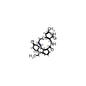 CCN(c1cccc2c1C/C=C/CCc1cc(C)[nH]c(=O)c1CNC2=O)C1CCC(=O)CC1